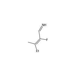 CC/C(C)=C(\F)C=N